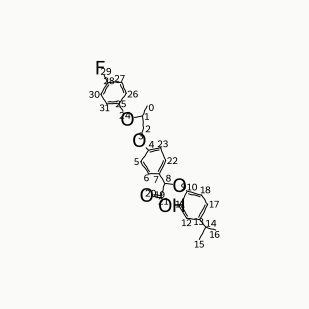 CC(COc1ccc(C(Oc2ccc(C(C)C)cc2)C(=O)O)cc1)Oc1ccc(F)cc1